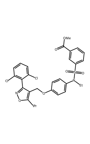 CCN(c1ccc(OCc2c(-c3c(Cl)cccc3Cl)noc2C(C)C)cc1)S(=O)(=O)c1cccc(C(=O)OC)c1